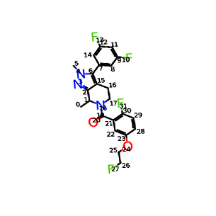 CC1c2nn(C)c(-c3cc(F)cc(F)c3)c2CCN1C(=O)c1cc(OCCF)ccc1F